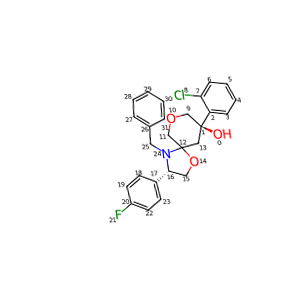 O[C@]1(c2ccccc2Cl)COCC2(C1)OC[C@H](c1ccc(F)cc1)N2Cc1ccccc1